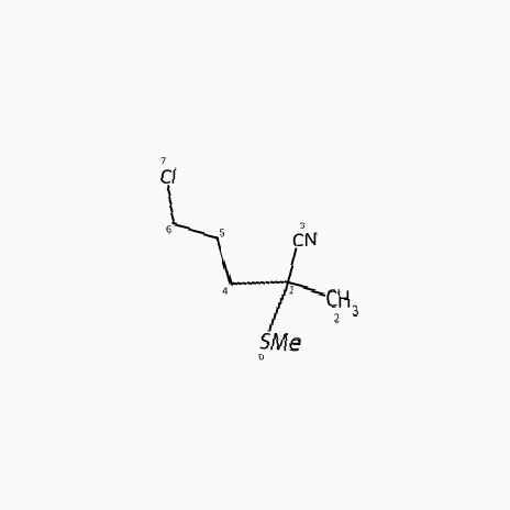 CSC(C)(C#N)CCCCl